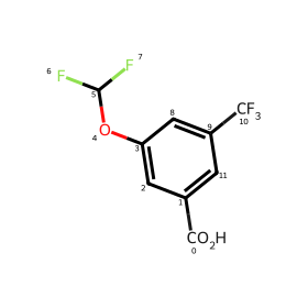 O=C(O)c1cc(OC(F)F)cc(C(F)(F)F)c1